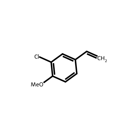 C=Cc1ccc(OC)c(Cl)c1